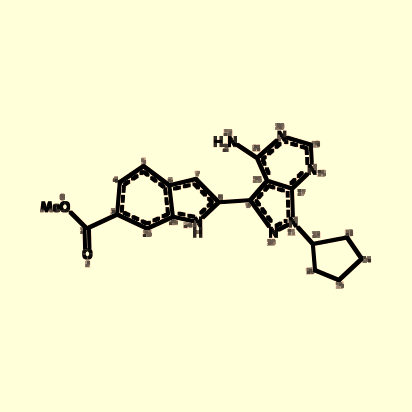 COC(=O)c1ccc2cc(-c3nn(C4CCCC4)c4ncnc(N)c34)[nH]c2c1